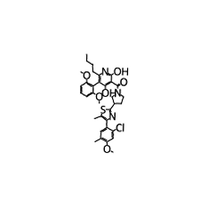 CCCCc1nc(O)c(C(=O)N2CCC(c3nc(-c4cc(C)c(OC)cc4Cl)c(C)s3)C2)c(O)c1-c1c(OC)cccc1OC